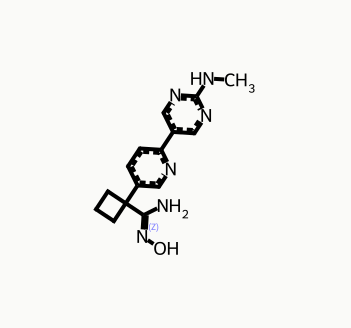 CNc1ncc(-c2ccc(C3(/C(N)=N/O)CCC3)cn2)cn1